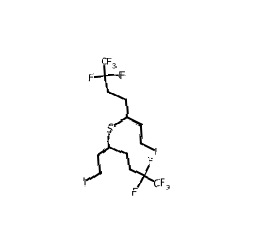 FC(F)(F)C(F)(F)CCC(CCI)SC(CCI)CCC(F)(F)C(F)(F)F